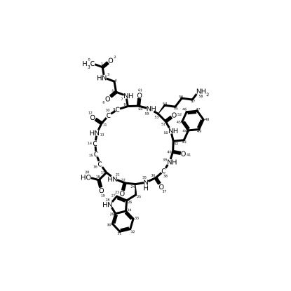 CC(=O)NCC(=O)NC1CCC(=O)NCCCC(C(=O)O)NC(=O)[C@H](Cc2c[nH]c3ccccc23)NC(=O)CNC(=O)C(Cc2ccccc2)NC(=O)[C@H](CCCCN)NC1=O